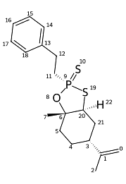 C=C(C)[C@@H]1CC[C@]2(C)O[P@](=S)(CCc3ccccc3)S[C@H]2C1